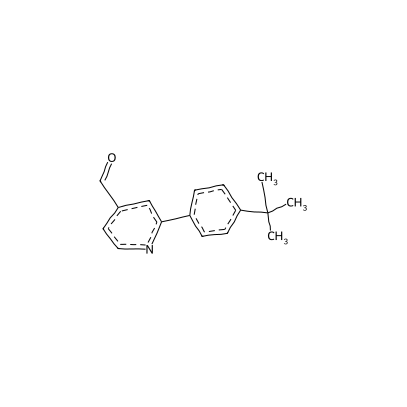 CC(C)(C)c1ccc(-c2cc(C=O)ccn2)cc1